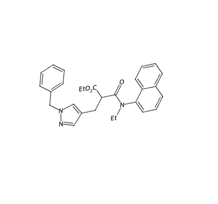 CCOC(=O)C(Cc1cnn(Cc2ccccc2)c1)C(=O)N(CC)c1cccc2ccccc12